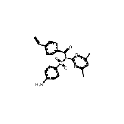 C=Cc1ccc(C(=O)N(c2nc(C)cc(C)n2)S(=O)(=O)c2ccc(N)cc2)cc1